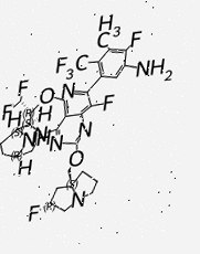 Cc1c(F)c(N)cc(-c2nc3c4c(nc(OC[C@@]56CCCN5C[C@H](F)C6)nc4c2F)N2C[C@H]4CC[C@H](N4)[C@H]2[C@H](C(F)F)O3)c1C(F)(F)F